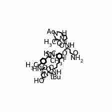 CC(=O)N1CC[C@H]2CC[C@@H](C(=O)N[C@@H](CCC(N)=O)COc3cc(C)cc(CCCC(=O)N[C@H](C(=O)N4C[C@H](O)C[C@H]4C(=O)N[C@@H](C)c4ccc(-c5scnc5C)cc4)C(C)(C)C)c3F)N2C(=O)[C@@H](C)C1